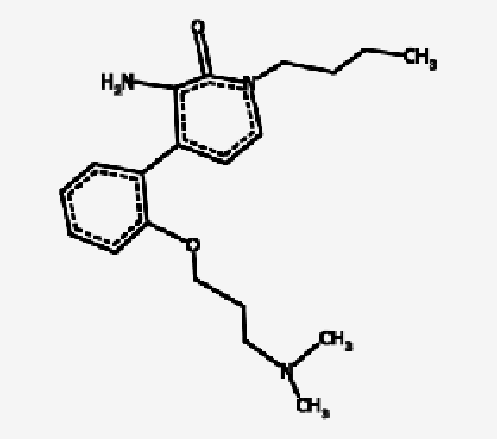 CCCCn1ccc(-c2ccccc2OCCCN(C)C)c(N)c1=O